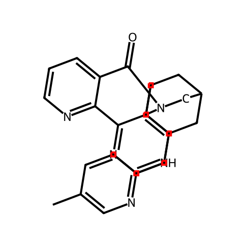 Cc1ccc(NC2CC3CCC2N(C(=O)c2cccnc2-c2ncccc2C)C3)nc1